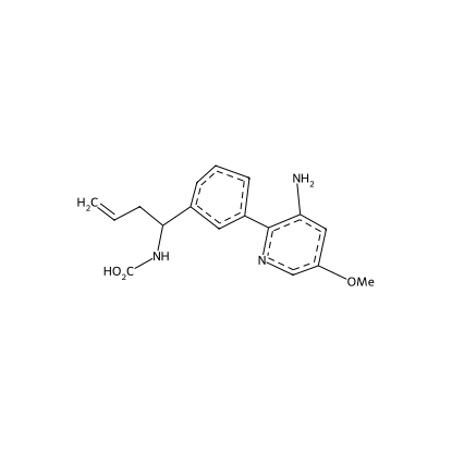 C=CCC(NC(=O)O)c1cccc(-c2ncc(OC)cc2N)c1